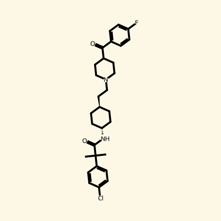 CC(C)(C(=O)N[C@H]1CC[C@H](CCN2CCC(C(=O)c3ccc(F)cc3)CC2)CC1)c1ccc(Cl)cc1